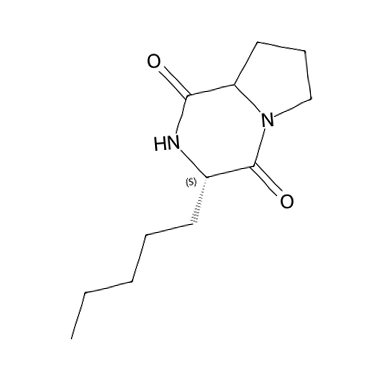 CCCCC[C@@H]1NC(=O)C2CCCN2C1=O